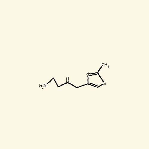 Cc1nc(CNCCN)cs1